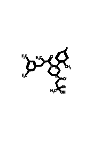 CCC(C)(O)C[S+]([O-])[C@H]1CCN(C(=O)N(C)Cc2cc(C(F)(F)F)cc(C(F)(F)F)c2)[C@@H](c2ccc(F)cc2C)C1